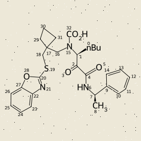 CCCC[C@@H](C(=O)C(=O)N[C@H](C)c1ccccc1)N(CC1(CSc2nc3ccccc3o2)CCC1)C(=O)O